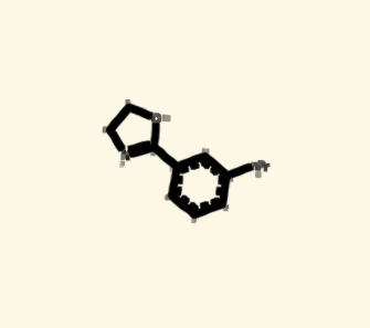 CCCc1cccc(C2=NCCO2)c1